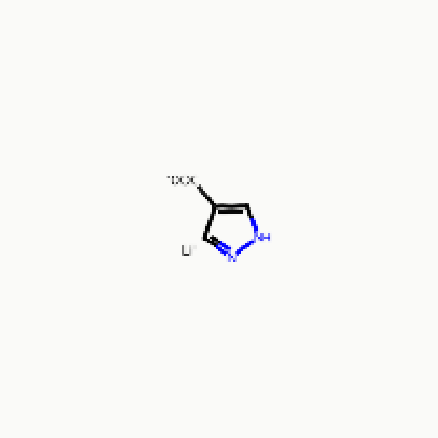 O=C([O-])c1cn[nH]c1.[Li+]